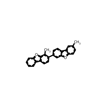 Cc1ccc2oc3cc(-c4ccc5c(oc6ccccc65)c4C)ccc3c2c1